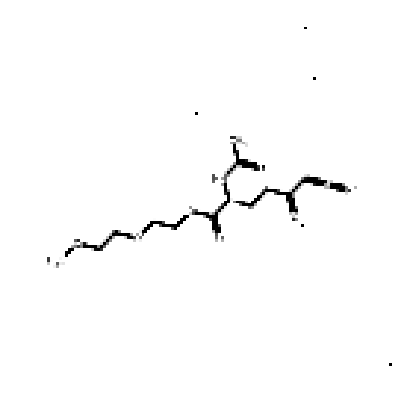 COCCOCCOC(=O)[C@H](CCC(=O)C=[N+]=[N-])NC(C)=O